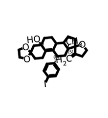 C=C1CCOC12CCC1C3CC[C@@]4(O)CC5(CCC4=C3[C@@H](c3ccc(I)cc3)C[C@@]12C)OCCO5